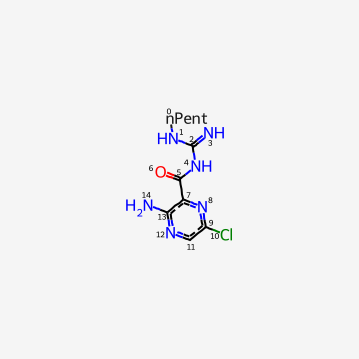 CCCCCNC(=N)NC(=O)c1nc(Cl)cnc1N